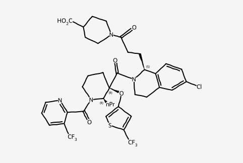 CCC[C@H]1N(C(=O)c2ncccc2C(F)(F)F)CCC[C@]1(Oc1csc(C(F)(F)F)c1)C(=O)N1CCc2cc(Cl)ccc2[C@@H]1CCC(=O)N1CCC(C(=O)O)CC1